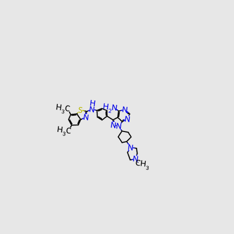 Cc1cc(C)c2sc(Nc3ccc(-c4nn(C5CCC(N6CCN(C)CC6)CC5)c5ncnc(N)c45)cc3)nc2c1